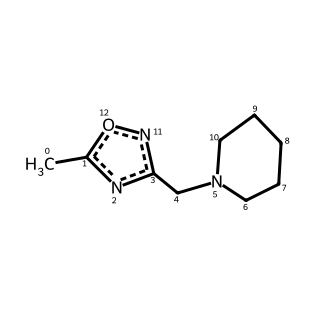 Cc1nc(CN2CCCCC2)no1